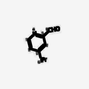 CC(C)c1ccnc(C=O)c1